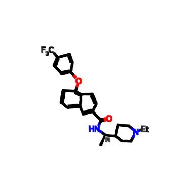 CCN1CCC([C@@H](C)NC(=O)c2ccc3c(Oc4ccc(C(F)(F)F)cc4)cccc3c2)CC1